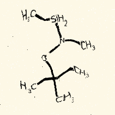 C[SiH2]N(C)OC(C)(C)C